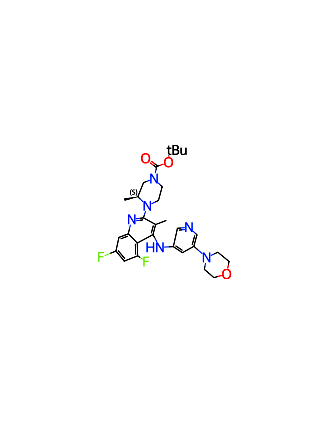 Cc1c(N2CCN(C(=O)OC(C)(C)C)C[C@@H]2C)nc2cc(F)cc(F)c2c1Nc1cncc(N2CCOCC2)c1